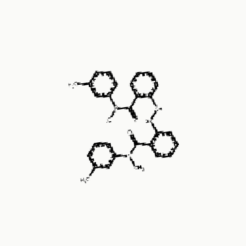 Cc1cccc(N(C)C(=O)c2ccccc2[Se][Se]c2ccccc2C(=O)N(C)c2cccc(C)c2)c1